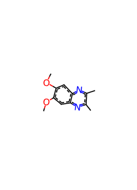 COc1cc2nc(C)c(C)nc2cc1OC